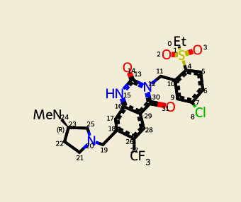 CCS(=O)(=O)c1ccc(Cl)cc1Cn1c(=O)[nH]c2cc(CN3CC[C@@H](NC)C3)c(C(F)(F)F)cc2c1=O